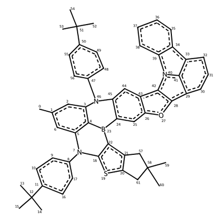 Cc1cc2c3c(c1)N(c1ccc(C(C)(C)C)cc1)c1sc4c(c1B3c1cc3oc5c6cccc7c8ccccc8n(c76)c5c3cc1N2c1ccc(C(C)(C)C)cc1)CC(C)(C)C4